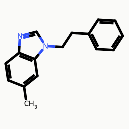 Cc1ccc2ncn(CCc3ccccc3)c2c1